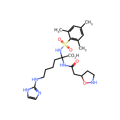 Cc1cc(C)c(S(=O)(=O)NC(CCCCNc2ncc[nH]2)(NC(=O)CC2CCNO2)C(=O)O)c(C)c1